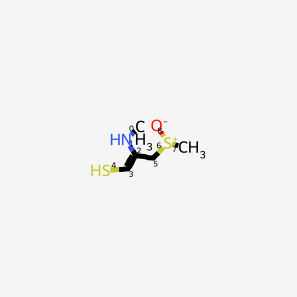 CN/C(=C\S)C[S+](C)[O-]